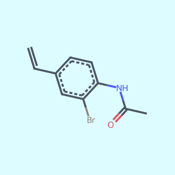 C=Cc1ccc(NC(C)=O)c(Br)c1